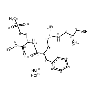 CC[C@@H](C)[C@@H](CO[C@@H](Cc1ccccc1)C(=O)N[C@@H](CCS(C)(=O)=O)C(=O)OC(C)C)NC[C@@H](N)CS.Cl.Cl